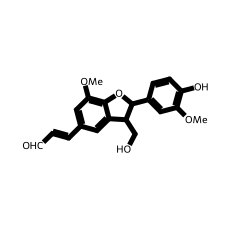 COc1cc(C2Oc3c(OC)cc(C=CC=O)cc3C2CO)ccc1O